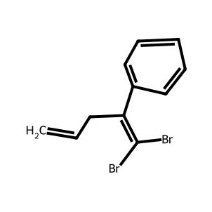 C=CCC(=C(Br)Br)c1ccccc1